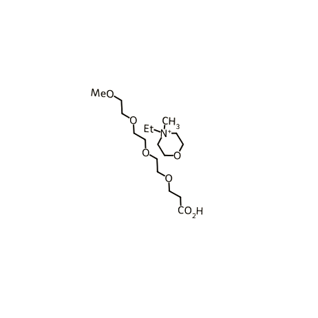 CC[N+]1(C)CCOCC1.COCCOCCOCCOCCC(=O)O